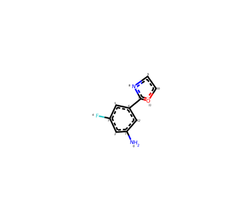 Nc1cc(F)cc(-c2ncco2)c1